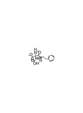 COC(=O)C(N)(NC(=O)O)C(=O)NCCc1ccccc1